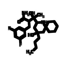 CCCCC1(O)CC(C(C)(O)C(Cc2cc(F)cc(F)c2)C(N)=O)NC2(CCCCC2)C1